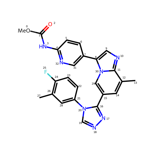 COC(=O)Nc1ccc(-c2cnc3c(C)cc(-c4nncn4-c4ccc(F)c(C)c4)cn23)cn1